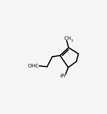 CC1=C(CCC=O)C(C(C)C)CC1